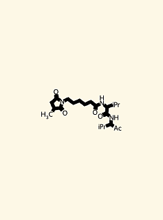 CC(=O)C(NC(=O)C(NC(=O)CCCCCN1C(=O)CC(C)C1=O)C(C)C)C(C)C